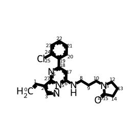 C=Cc1cnn2c(NCCCN3CCCC3=O)cc(-c3ccccc3Cl)nc12